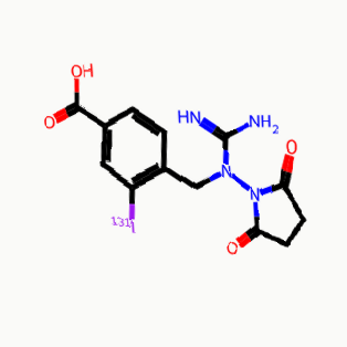 N=C(N)N(Cc1ccc(C(=O)O)cc1[131I])N1C(=O)CCC1=O